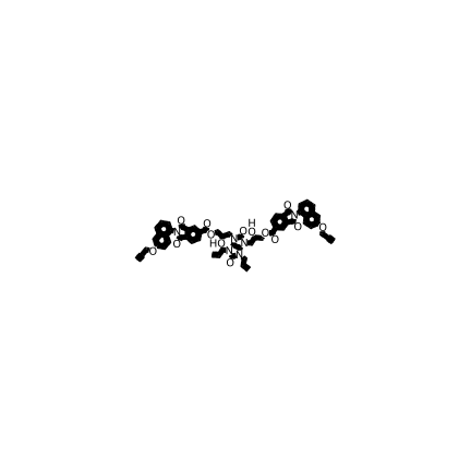 C#CCOc1ccc2c(N3C(=O)c4ccc(C(=O)OCC(O)CN5C(=O)N(CC(O)COC(=O)c6ccc7c(c6)C(=O)N(c6cccc8cc(OCC#C)ccc68)C7=O)C6C5N(CC=C)C(=O)N6CC=C)cc4C3=O)cccc2c1